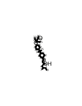 CCC(C)CC(O)COc1ccc(C(C)(C)c2ccc(OC(CC)(CC)C3CO3)cc2)cc1